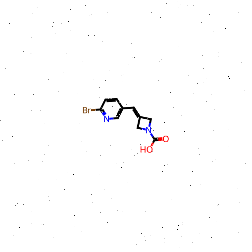 O=C(O)N1CC(=Cc2ccc(Br)nc2)C1